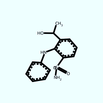 CC(O)c1cccc(S(N)(=O)=O)c1Nc1ccccc1